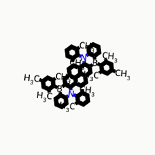 Cc1cc(C)c(B2c3ccccc3N(c3c(C)cccc3C)c3c2cc2ccc4c5c(cc6ccc3c2c64)B(c2c(C)cc(C)cc2C)c2ccccc2N5c2c(C)cccc2C)c(C)c1